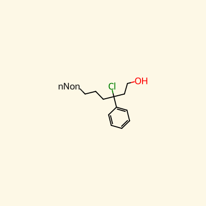 CCCCCCCCCCCCC(Cl)(CCO)c1ccccc1